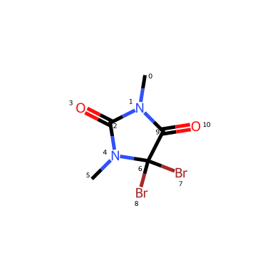 CN1C(=O)N(C)C(Br)(Br)C1=O